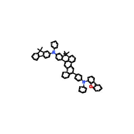 CC1(C)c2ccccc2-c2ccc(N(c3ccccc3)c3ccc4c(c3)[Si](C)(C)c3cccc5c3c-4cc3c4ccccc4c(-c4ccc(N(c6ccccc6)c6cccc7c6oc6ccccc67)cc4)cc53)cc21